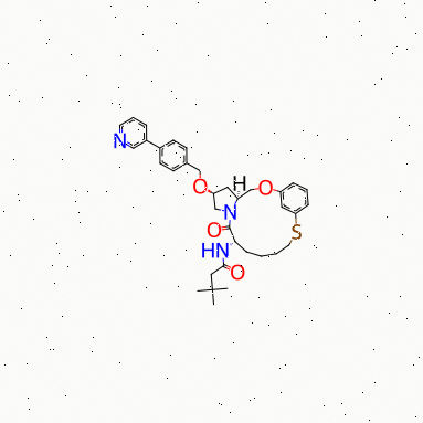 CC(C)(C)CC(=O)N[C@H]1CCCCSc2cccc(c2)OC[C@@H]2C[C@H](OCc3ccc(-c4cccnc4)cc3)CN2C1=O